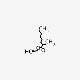 C#CCOC(=O)C(CC)CCCCCC